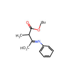 CCC(C)OC(=O)C(C)C(=Nc1ccccc1)C(=O)O